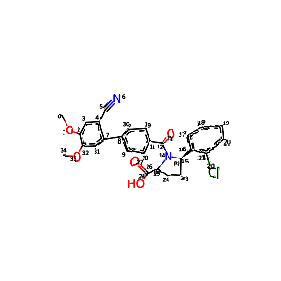 COc1cc(C#N)c(-c2ccc(C(=O)N3[C@@H](c4ccccc4Cl)CC[C@H]3C(=O)O)cc2)cc1OC